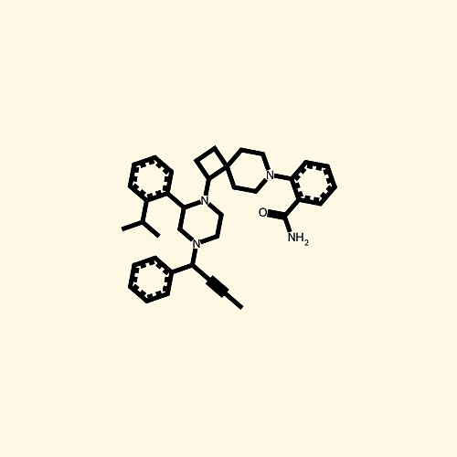 CC#CC(c1ccccc1)N1CCN(C2CCC23CCN(c2ccccc2C(N)=O)CC3)C(c2ccccc2C(C)C)C1